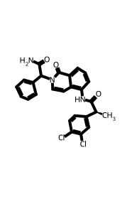 C[C@H](C(=O)Nc1cccc2c(=O)n(C(C(N)=O)c3ccccc3)ccc12)c1ccc(Cl)c(Cl)c1